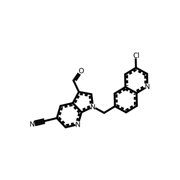 N#Cc1cnc2c(c1)c(C=O)cn2Cc1ccc2ncc(Cl)cc2c1